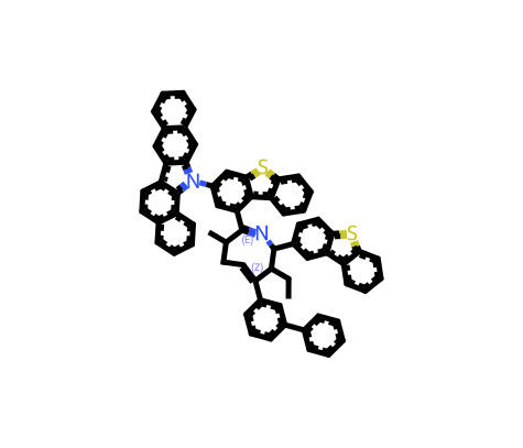 CCC1/C(c2cccc(-c3ccccc3)c2)=C/CC(C)/C(c2cc(-n3c4cc5ccccc5cc4c4ccc5ccccc5c43)cc3sc4ccccc4c23)=N\C1c1ccc2sc3ccccc3c2c1